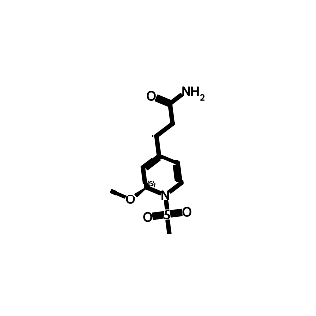 CO[C@H]1C=C([CH]CC(N)=O)C=CN1S(C)(=O)=O